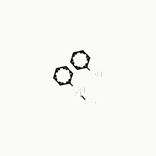 CCCCl.Oc1ccccc1.Oc1ccccc1